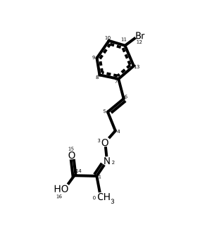 CC(=NOCC=Cc1cccc(Br)c1)C(=O)O